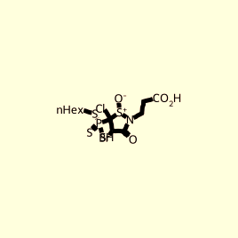 CCCCCCSP(=S)(S)C1(Cl)C(Br)C(=O)N(CCC(=O)O)[S+]1[O-]